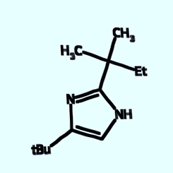 CCC(C)(C)c1nc(C(C)(C)C)c[nH]1